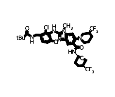 Cn1c(Nc2c(Cl)ccc(CNC(=O)C(C)(C)C)c2Cl)nc2cc(C(=O)N[C@H]3CC[C@H](C(F)(F)F)CC3)c(N3CCCC(C(F)(F)F)C3)cc21